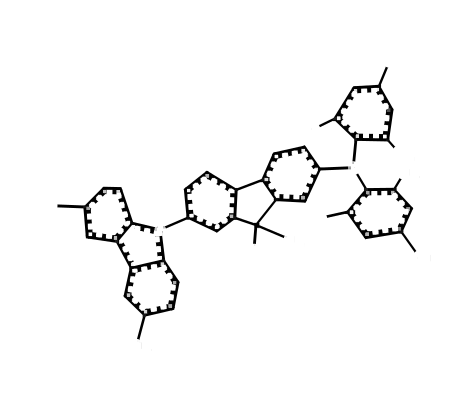 Cc1cc(C)c(B(c2ccc3c(c2)C(C)(C)c2cc(-n4c5ccc(C)cc5c5cc(C)ccc54)ccc2-3)c2c(C)cc(C)cc2C)c(C)c1